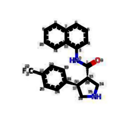 O=C(Nc1cccc2ccccc12)[C@@H]1CNC[C@H]1c1ccc(C(F)(F)F)cc1